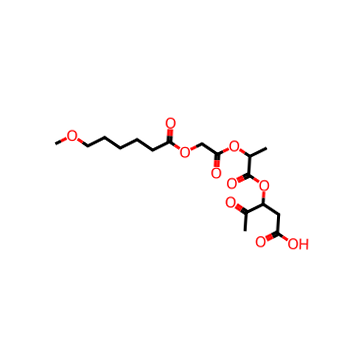 COCCCCCC(=O)OCC(=O)OC(C)C(=O)OC(CC(=O)O)C(C)=O